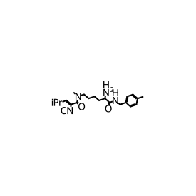 Cc1ccc(CNC(=O)C(N)CCCCN(C)C(=O)C(C#N)=CC(C)C)cc1